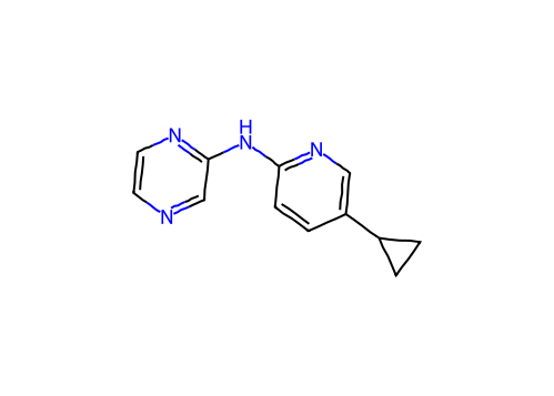 c1cnc(Nc2ccc(C3CC3)cn2)cn1